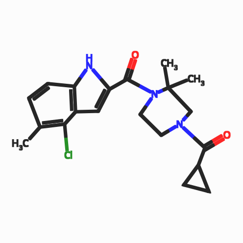 Cc1ccc2[nH]c(C(=O)N3CCN(C(=O)C4CC4)CC3(C)C)cc2c1Cl